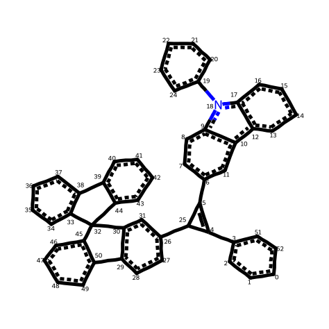 c1ccc(C2=C(c3ccc4c(c3)c3ccccc3n4-c3ccccc3)C2c2ccc3c(c2)C2(c4ccccc4-c4ccccc42)c2ccccc2-3)cc1